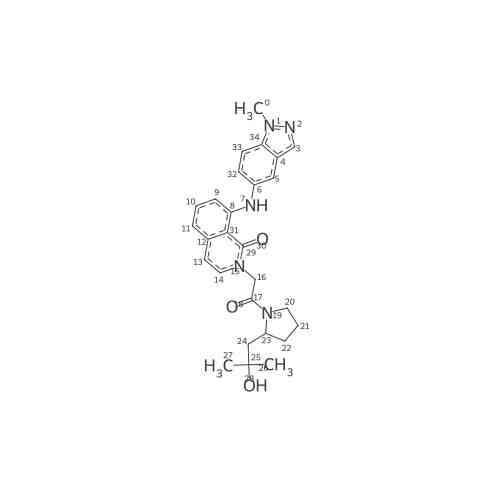 Cn1ncc2cc(Nc3cccc4ccn(CC(=O)N5CCCC5CC(C)(C)O)c(=O)c34)ccc21